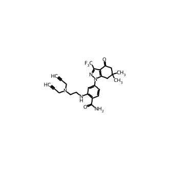 C#CCN(CC#C)CCNc1cc(-n2nc(C(F)(F)F)c3c2CC(C)(C)CC3=O)ccc1C(N)=O